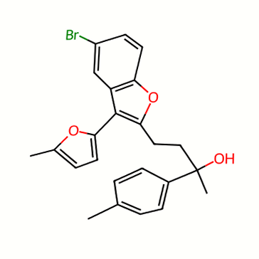 Cc1ccc(C(C)(O)CCc2oc3ccc(Br)cc3c2-c2ccc(C)o2)cc1